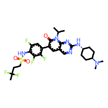 CC(C)n1c(=O)c(-c2cc(F)c(NS(=O)(=O)CCC(C)(F)F)c(F)c2F)cc2cnc(N[C@H]3CC[C@H](N(C)C)CC3)nc21